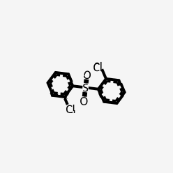 O=S(=O)(c1ccccc1Cl)c1ccccc1Cl